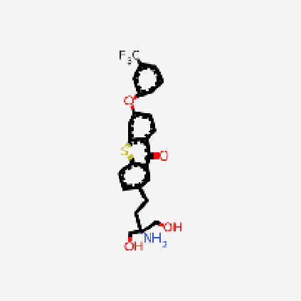 NC(CO)(CO)CCc1ccc2sc3cc(Oc4cccc(C(F)(F)F)c4)ccc3c(=O)c2c1